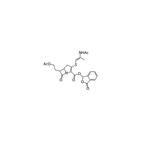 CC(=O)NC(C)=CSC1=C(C(=O)OC2OC(=O)c3ccccc32)N2C(=O)C(CCOC(C)=O)C2C1